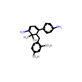 CC1(C)C(N)=CC=C(c2ccc(N)cc2)C1Cc1ccc(S(=O)(=O)O)cc1S(=O)(=O)O